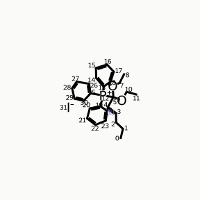 CCC/C=C/C(OCC)(OCC)[P+](c1ccccc1)(c1ccccc1)c1ccccc1.[I-]